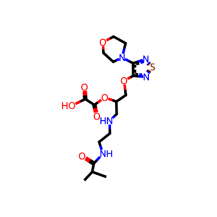 CC(C)C(=O)NCCNCC(COc1nsnc1N1CCOCC1)OC(=O)C(=O)O